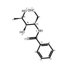 C[C@@H](O)[C@H](O)[C@@H](CC=O)NC(=O)c1ccccc1